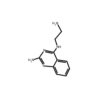 NCCNc1nc(N)nc2ccccc12